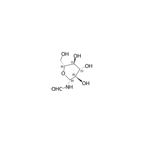 O=[C]N[C@@H]1O[C@H](CO)[C@@H](O)[C@H](O)[C@H]1O